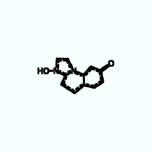 O=c1ccc2ccc3n(O)ccn3c-2c1